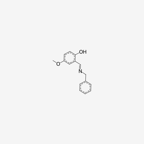 COc1ccc(O)c(C=NCc2ccccc2)c1